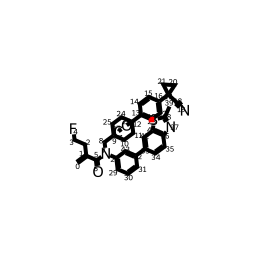 C=C(CCF)C(=O)N(CC12CCC(c3ccc(C4(C#N)CC4)cc3)(CC1)OC2)c1cccc(-c2ccc3nc(C)sc3c2)c1